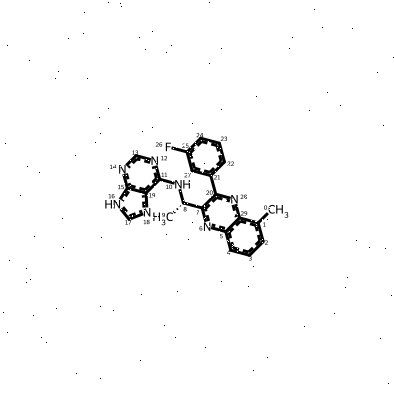 Cc1cccc2nc([C@H](C)Nc3ncnc4[nH]cnc34)c(-c3cccc(F)c3)nc12